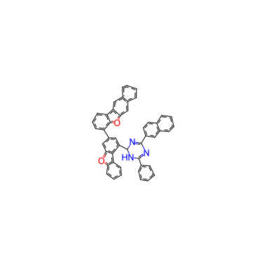 c1ccc(C2=NC(c3ccc4ccccc4c3)=NC(c3cc(-c4cccc5c4oc4cc6ccccc6cc45)cc4oc5ccccc5c34)N2)cc1